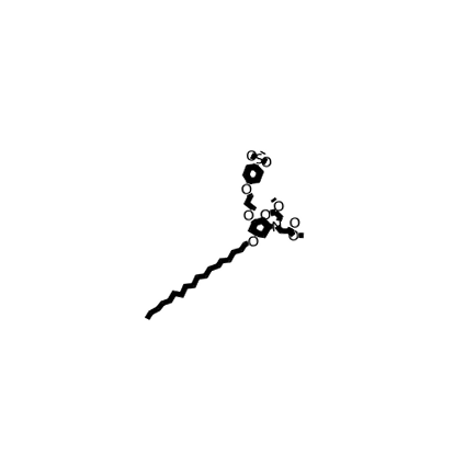 CCCCCCCCCCCCCCCCCCOc1cc(OCCCOc2ccc(S(C)(=O)=O)cc2)cc(N(CC(=O)OC)CC(=O)OC)c1